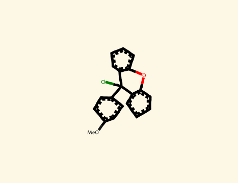 COc1ccc(C2(Cl)c3ccccc3Oc3ccccc32)cc1